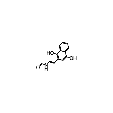 O=CNC=Cc1cc(O)c2ccccc2c1O